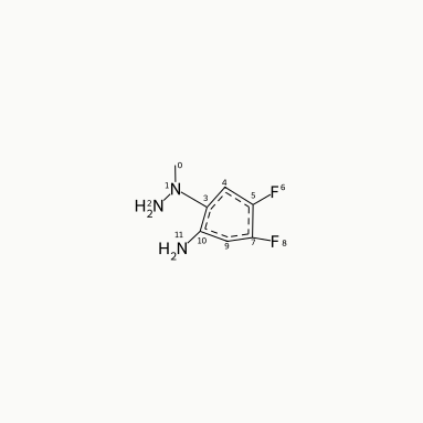 CN(N)c1cc(F)c(F)cc1N